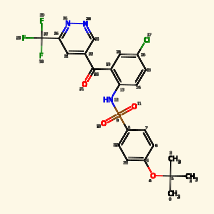 CC(C)(C)Oc1ccc(S(=O)(=O)Nc2ccc(Cl)cc2C(=O)c2cnnc(C(F)(F)F)c2)cc1